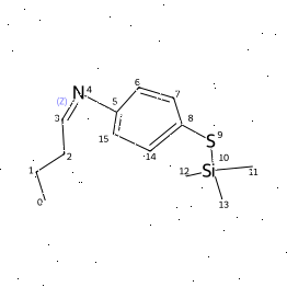 CCC/C=N\c1ccc(S[Si](C)(C)C)cc1